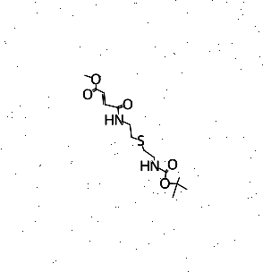 COC(=O)/C=C/C(=O)NCCSCCNC(=O)OC(C)(C)C